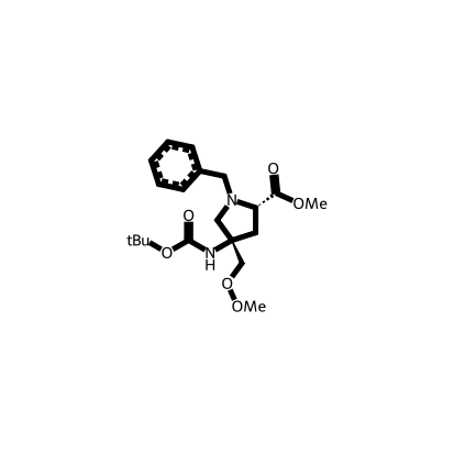 COOC[C@]1(NC(=O)OC(C)(C)C)C[C@@H](C(=O)OC)N(Cc2ccccc2)C1